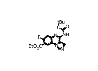 CCOC(=O)c1cc2c(cc1F)nc(NC(=O)OC(C)(C)C)c1cncn12